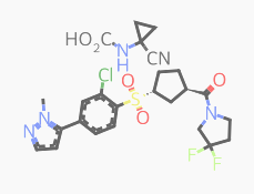 Cn1nccc1-c1ccc(S(=O)(=O)[C@@H]2CC[C@@H](C(=O)N3CCC(F)(F)C3)C2)c(Cl)c1.N#CC1(NC(=O)O)CC1